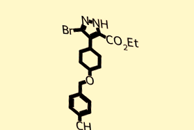 CCOC(=O)c1[nH]nc(Br)c1C1CCC(OCc2ccc(C)cc2)CC1